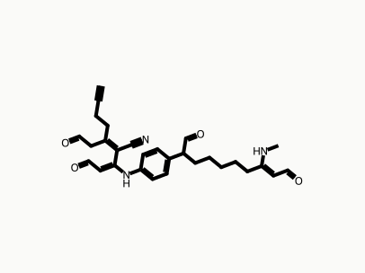 C#CCC/C(CC=O)=C(C#N)/C(=C\C=O)Nc1ccc(C(C=O)CCCCC/C(=C/C=O)NC)cc1